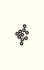 c1ccc(-c2cc(-c3ccccc3)nc(-c3cccc([Si](c4ccccc4)(c4ccccc4)c4cccc(-c5cc(-c6ccccc6)cc(-c6ccccc6)n5)c4)c3)c2)cc1